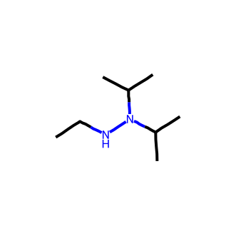 CCNN(C(C)C)C(C)C